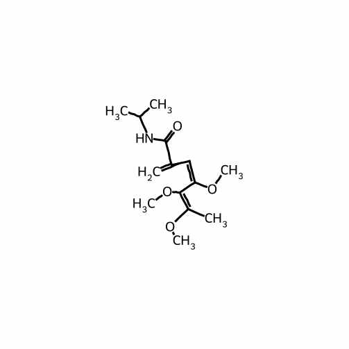 C=C(/C=C(OC)\C(OC)=C(/C)OC)C(=O)NC(C)C